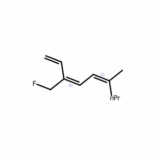 C=C/C(=C\C=C(\C)CCC)CF